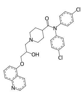 O=C(C1CCN(CC(O)COc2cccc3ncccc23)CC1)N(c1ccc(Cl)cc1)c1ccc(Cl)cc1